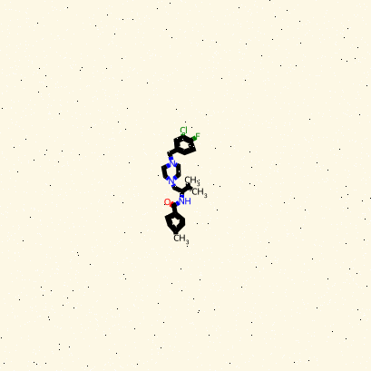 Cc1ccc(C(=O)NC(CN2CCN(Cc3ccc(F)c(Cl)c3)CC2)C(C)C)cc1